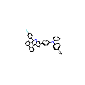 N#Cc1ccc(N(c2ccccc2)c2ccc(-c3ccc4c(c3)nc(-c3ccc(F)cc3)c3c5ccccc5c5ccccc5c43)cc2)cc1